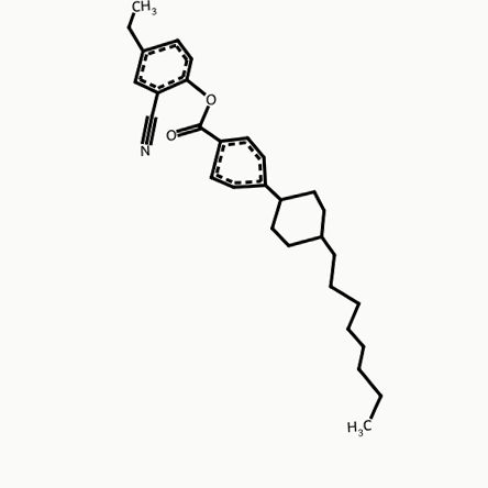 CCCCCCCCC1CCC(c2ccc(C(=O)Oc3ccc(CC)cc3C#N)cc2)CC1